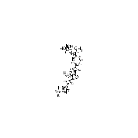 CCN(CC[PH](C)(C)O)C1=NC=C(C2CN(C(=O)[N+]3(C)CC4(CC(c5nnc(C6CC6)[nH]5)C4)C3)C2)CC=C1